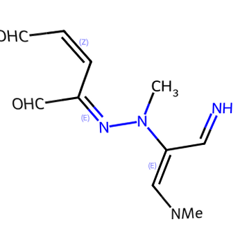 CN/C=C(\C=N)N(C)/N=C(C=O)\C=C/C=O